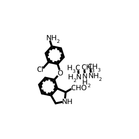 CN.CN.CN.Nc1ccc(Oc2cccc3c2C(C=O)NC3)c(Cl)c1